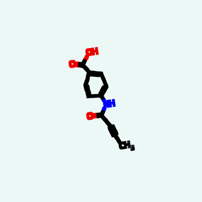 CC#CC(=O)Nc1ccc(C(=O)O)cc1